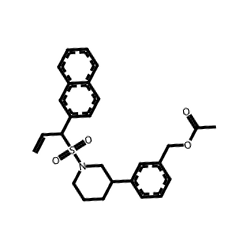 C=CC(c1ccc2ccccc2c1)S(=O)(=O)N1CCCC(c2cccc(COC(C)=O)c2)C1